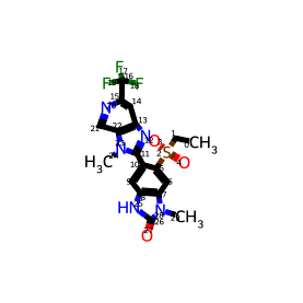 CCS(=O)(=O)c1cc2c(cc1-c1nc3cc(C(F)(F)F)ncc3n1C)[nH]c(=O)n2C